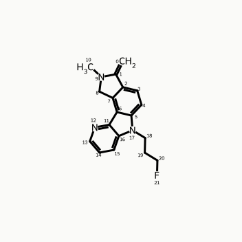 C=C1c2ccc3c(c2CN1C)c1ncccc1n3CCCF